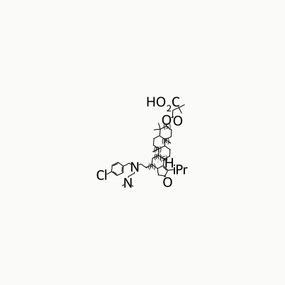 CC(C)C1=C2C(CC1=O)[C@@H](CCN(CCN(C)C)Cc1ccc(Cl)cc1)C[C@]1(C)[C@@H]2CCC2[C@@]3(C)CC[C@H](OC(=O)CC(C)(C)C(=O)O)C(C)(C)C3CC[C@]21C